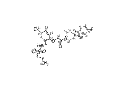 CCCS(=O)(=O)NCc1cc(Cl)ccc1OCC(=O)N1CCC(C#N)(Cc2ccc(F)cc2)CC1